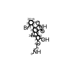 CNCCCOc1cc2c(cc1O)c1c3c(c(-c4ccccc4Br)cc1n2C)C(=O)NC3=O